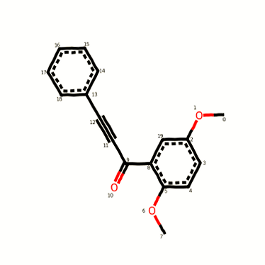 COc1ccc(OC)c(C(=O)C#Cc2ccccc2)c1